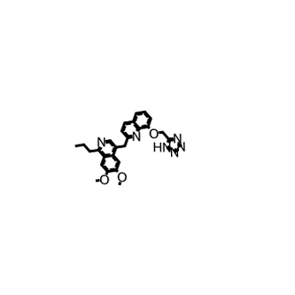 CCCc1ncc(Cc2ccc3cccc(OCc4nnn[nH]4)c3n2)c2cc(OC)c(OC)cc12